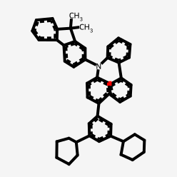 CC1(C)c2ccccc2-c2ccc(N(c3ccc(-c4cc(C5CCCCC5)cc(C5CCCCC5)c4)cc3)c3ccccc3-c3ccccc3)cc21